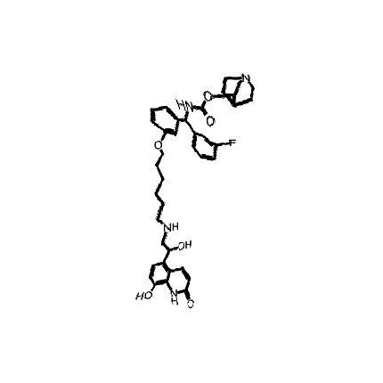 O=C(NC(c1cccc(F)c1)c1cccc(OCCCCCCNCC(O)c2ccc(O)c3[nH]c(=O)ccc23)c1)OC1CN2CCC1CC2